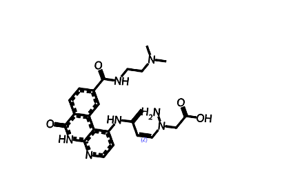 C=C(/C=C\N(N)CC(=O)O)Nc1ccnc2[nH]c(=O)c3ccc(C(=O)NCCN(C)C)cc3c12